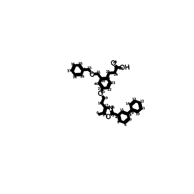 Cc1oc(-c2cccc(-c3ccccc3)c2)nc1CCOc1ccc(CCC(=O)O)c(COCc2ccccc2)c1